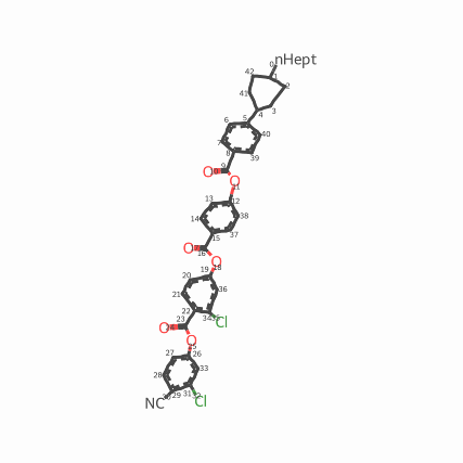 CCCCCCCC1CCC(c2ccc(C(=O)Oc3ccc(C(=O)Oc4ccc(C(=O)Oc5ccc(C#N)c(Cl)c5)c(Cl)c4)cc3)cc2)CC1